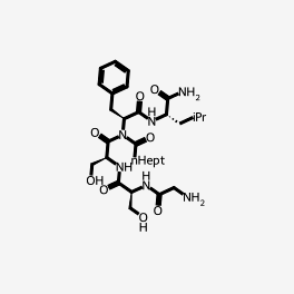 CCCCCCCC(=O)N(C(=O)[C@H](CO)NC(=O)[C@H](CO)NC(=O)CN)[C@@H](Cc1ccccc1)C(=O)N[C@@H](CC(C)C)C(N)=O